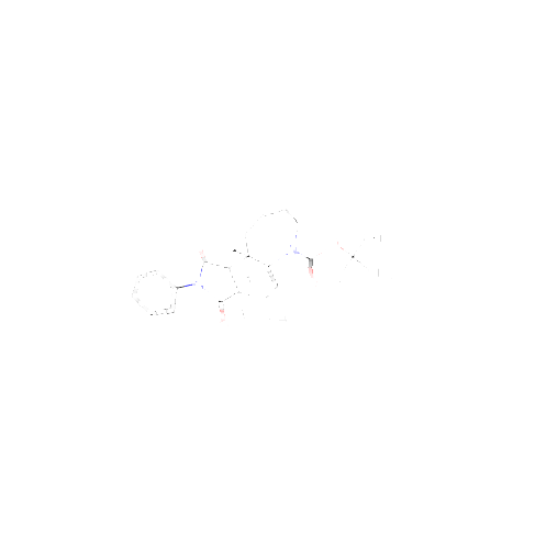 C[C@H]1C=C2[C@@H](CCCCN2C(=O)OC(C)(C)C)[C@@H]2C(=O)N(c3ccccc3)C(=O)[C@@H]21